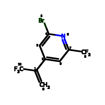 C=C(c1cc(Br)nc(C(F)(F)F)c1)C(F)(F)F